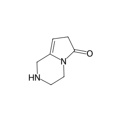 O=C1CC=C2CNCCN12